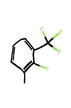 Cc1cccc(C(F)(F)F)c1F